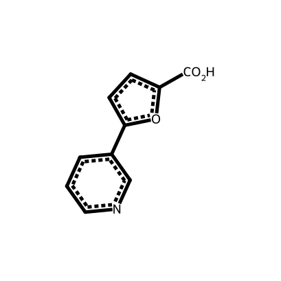 O=C(O)c1ccc(-c2cccnc2)o1